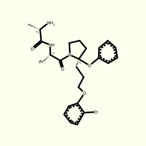 CCc1ccccc1OCCC[C@@]1(Oc2ccccc2)CCCN1C(=O)[C@@H](NC(=O)[C@H](C)N)C(C)C